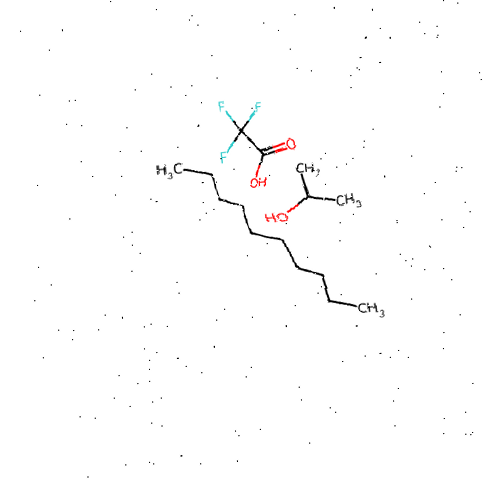 CC(C)O.CCCCCCCCCC.O=C(O)C(F)(F)F